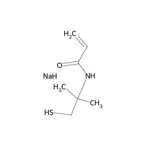 C=CC(=O)NC(C)(C)CS.[NaH]